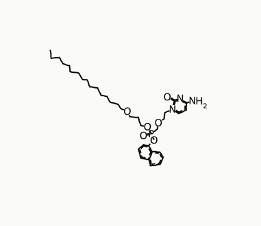 CCCCCCCCCCCCCCCCOCCCOP(=O)(COCCn1ccc(N)nc1=O)Oc1cccc2ccccc12